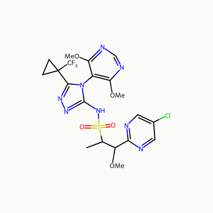 COc1ncnc(OC)c1-n1c(NS(=O)(=O)C(C)C(OC)c2ncc(Cl)cn2)nnc1C1(C(F)(F)F)CC1